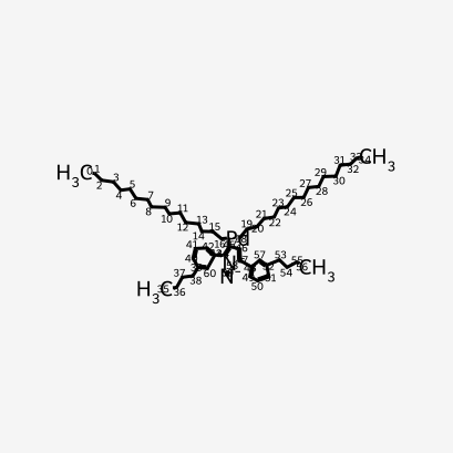 CCCCCCCCCCCCCCCC[CH2][Pd][CH2]CCCCCCCCCCCCCCCC.CCCCc1cccc(C2=CC=C(c3cccc(CCCC)c3)[N+]2=[N-])c1